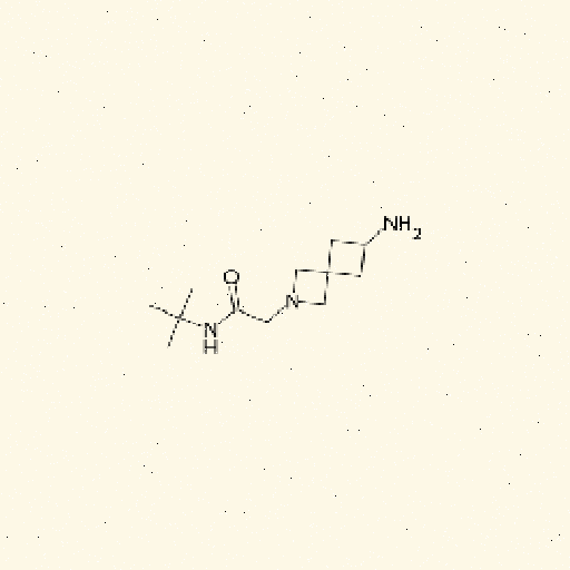 CC(C)(C)NC(=O)CN1CC2(CC(N)C2)C1